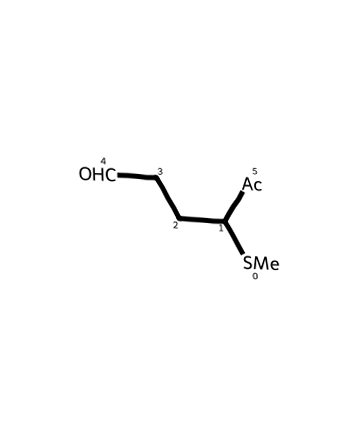 CSC(CCC=O)C(C)=O